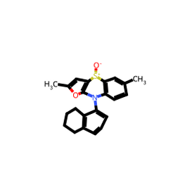 Cc1ccc2c(c1)[S+]([O-])c1cc(C)oc1N2c1cccc2c1CCCC2